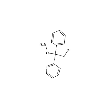 [SiH3]OC(CBr)(c1ccccc1)c1ccccc1